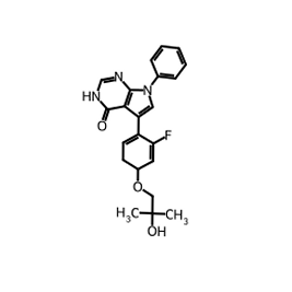 CC(C)(O)COC1C=C(F)C(c2cn(-c3ccccc3)c3nc[nH]c(=O)c23)=CC1